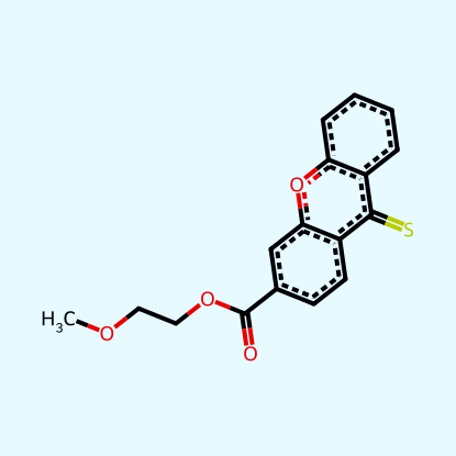 COCCOC(=O)c1ccc2c(=S)c3ccccc3oc2c1